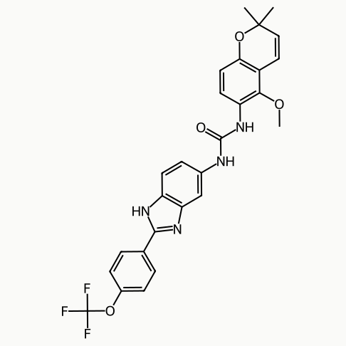 COc1c(NC(=O)Nc2ccc3[nH]c(-c4ccc(OC(F)(F)F)cc4)nc3c2)ccc2c1C=CC(C)(C)O2